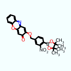 CC1(C)OB(c2ccc(COc3cc4nc5ccccc5oc-4cc3=O)cc2[N+](=O)[O-])OC1(C)C